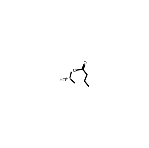 CCCC(=O)Cl.CNC.Cl